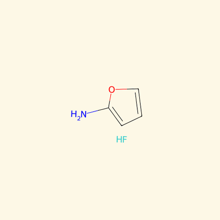 F.Nc1ccco1